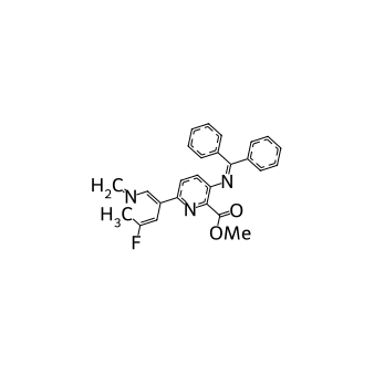 C=N/C=C(\C=C(/C)F)c1ccc(N=C(c2ccccc2)c2ccccc2)c(C(=O)OC)n1